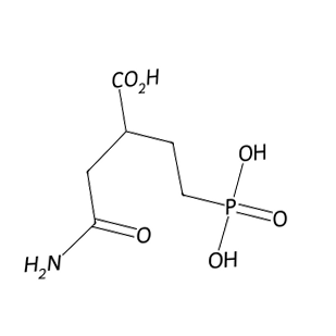 NC(=O)CC(CCP(=O)(O)O)C(=O)O